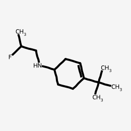 CC(F)CNC1CC=C(C(C)(C)C)CC1